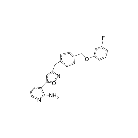 Nc1ncccc1-c1cc(Cc2ccc(COc3cccc(F)c3)cc2)no1